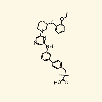 CCOc1ccccc1O[C@@H]1CCCN(c2cncc(Nc3cccc(-c4ccc(CC(C)(C)C(=O)O)cc4)c3)n2)C1